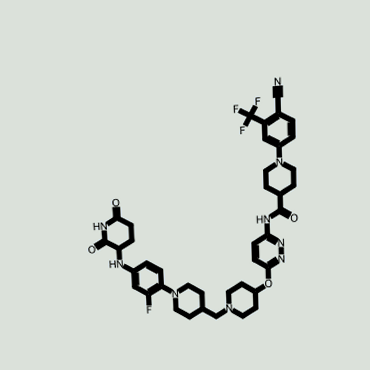 N#Cc1ccc(N2CCC(C(=O)Nc3ccc(OC4CCN(CC5CCN(c6ccc(NC7CCC(=O)NC7=O)cc6F)CC5)CC4)nn3)CC2)cc1C(F)(F)F